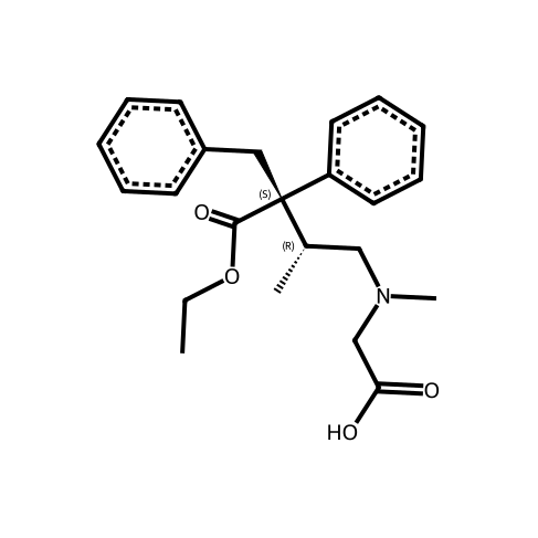 CCOC(=O)[C@](Cc1ccccc1)(c1ccccc1)[C@@H](C)CN(C)CC(=O)O